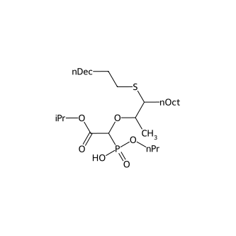 CCCCCCCCCCCCSC(CCCCCCCC)C(C)OC(C(=O)OC(C)C)P(=O)(O)OCCC